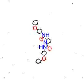 O=C(Nc1ccc(Oc2ccccc2)cc1)c1cccc(C(=O)Nc2ccc(Oc3ccccc3)cc2)n1